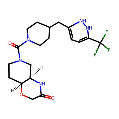 O=C1CO[C@H]2CCN(C(=O)N3CCC(CC4=CC=C(C(F)(F)F)NN4)CC3)C[C@H]2N1